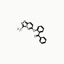 O=C(c1ccccc1)c1ccccc1Oc1ccc2nnc(C(F)(F)F)n2n1